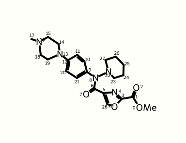 COC(=O)c1nc(C(=O)N(c2ccc(N3CCN(C)CC3)cc2)N2CCCCC2)co1